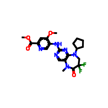 COC(=O)c1cc(OC)c(Nc2ncc3c(n2)N(C2CCCC2)CC(F)(F)C(=O)N3C)cn1